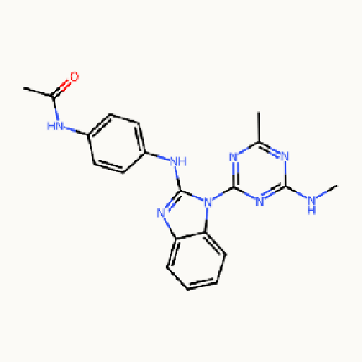 CNc1nc(C)nc(-n2c(Nc3ccc(NC(C)=O)cc3)nc3ccccc32)n1